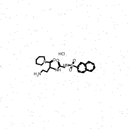 Cl.NCCC(NC(=O)CNS(=O)(=O)c1ccc2ccccc2c1)C(=O)N1CCCCC1